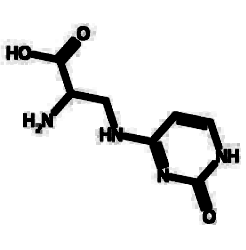 NC(CNc1cc[nH]c(=O)n1)C(=O)O